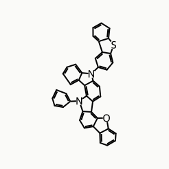 c1ccc(-n2c3ccc4c5ccccc5oc4c3c3ccc4c(c5ccccc5n4-c4ccc5sc6ccccc6c5c4)c32)cc1